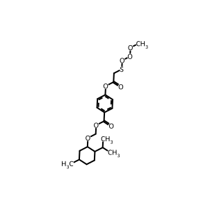 COOOSCC(=O)Oc1ccc(C(=O)OCOC2CC(C)CCC2C(C)C)cc1